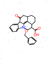 O=C1CC2CCCC3C2=C2C1c1ccccc1[N+]2(OCc1ccccc1)CC3C(=O)O